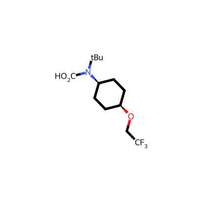 CC(C)(C)N(C(=O)O)[C@H]1CC[C@@H](OCC(F)(F)F)CC1